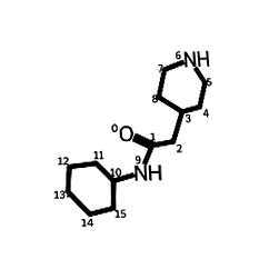 O=C(CC1CCNCC1)NC1CC[CH]CC1